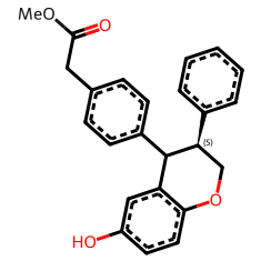 COC(=O)Cc1ccc(C2c3cc(O)ccc3OC[C@@H]2c2ccccc2)cc1